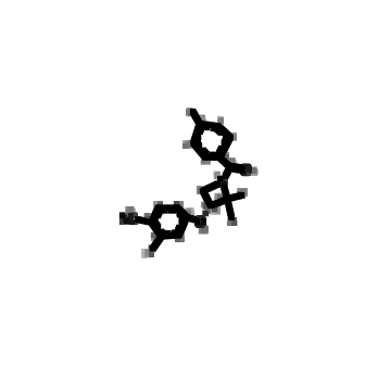 Cc1ccc(C(=O)N2C[C@@H](Oc3ccc(C#N)c(I)c3)C2(C)C)cc1